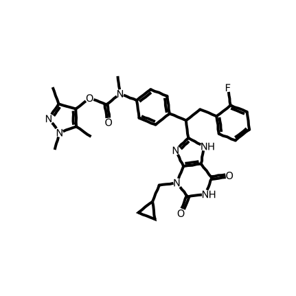 Cc1nn(C)c(C)c1OC(=O)N(C)c1ccc(C(Cc2ccccc2F)c2nc3c([nH]2)c(=O)[nH]c(=O)n3CC2CC2)cc1